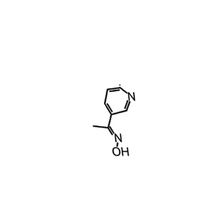 CC(=NO)c1cc[c]nc1